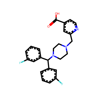 O=C(O)c1ccnc(CN2CCN(C(c3cccc(F)c3)c3cccc(F)c3)CC2)c1